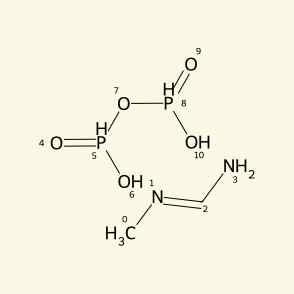 CN=CN.O=[PH](O)O[PH](=O)O